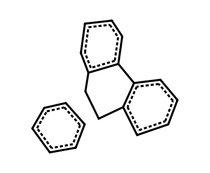 c1ccc2c(c1)CCc1ccccc1-2.c1ccccc1